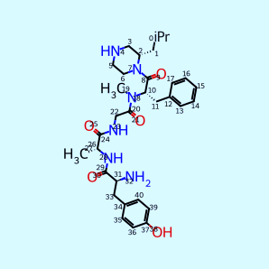 CC(C)C[C@H]1CNCCN1C(=O)[C@H](Cc1ccccc1)N(C)C(=O)CNC(=O)[C@@H](C)NC(=O)[C@@H](N)Cc1ccc(O)cc1